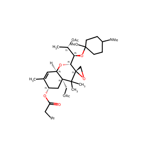 CNC1CCC(OC)(O[C@H]([C@H](C)OC(C)=O)[C@H]2O[C@@H]3C=C(C)[C@@H](OC(=O)CC(C)C)C[C@]3(COC(C)=O)C(C)(C)[C@]23CO3)CC1